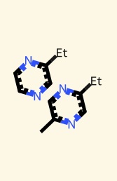 CCc1cnc(C)cn1.CCc1cnccn1